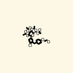 CC(=O)OC[C@H]1O[C@@H](c2ccc(Cl)c(Cc3ccc(OCC=O)cc3)c2)[C@H](OC(C)=O)[C@@H](OC(C)=O)[C@@H]1OC(C)=O